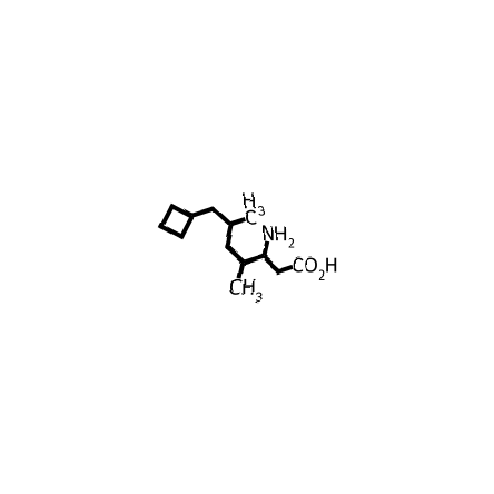 CC(CC1CCC1)CC(C)C(N)CC(=O)O